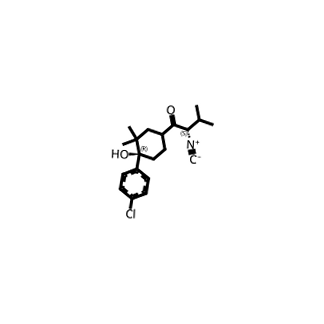 [C-]#[N+][C@H](C(=O)C1CC[C@](O)(c2ccc(Cl)cc2)C(C)(C)C1)C(C)C